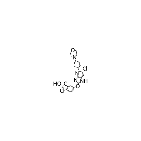 O=C(O)c1cc(Oc2nc3nc(C4C=CC(N5CCOCC5)=CC4)c(Cl)cc3[nH]2)ccc1Cl